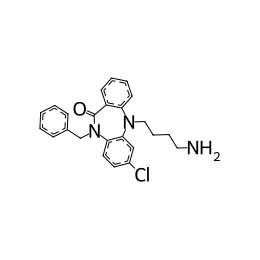 NCCCCN1c2ccccc2C(=O)N(Cc2ccccc2)c2ccc(Cl)cc21